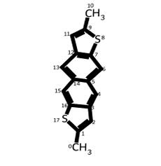 Cc1cc2cc3cc4sc(C)cc4cc3cc2s1